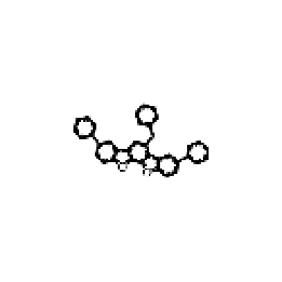 c1ccc(Cc2cc3c4cc(-c5ccccc5)ccc4oc3c3oc4ccc(-c5ccccc5)cc4c23)cc1